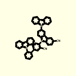 N#Cc1ccc2c(c1)c1cc(-n3c4ccccc4c4ccccc43)ccc1n2-c1ccc(-c2ccccc2-n2c3ccccc3c3ccccc32)cc1C#N